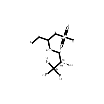 CCC(CS(C)(=O)=O)OC[C@H](C)C(F)(F)F